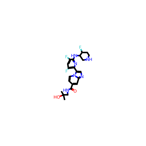 CC(C)(O)CNC(=O)c1ccn2c(-c3nc(NC4CNCCC4F)c(F)cc3F)cnc2c1